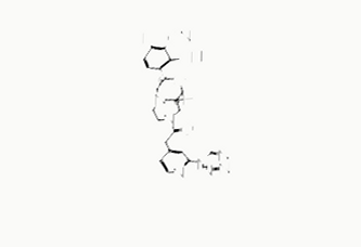 Cc1c([C@@H]2CN3CCN(C(=O)Cc4ccnc(-n5cnnn5)c4)C[C@H]3CO2)ccc(F)c1C#N